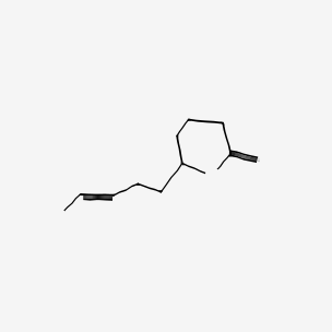 CC=CCCC1CCCC(=O)O1